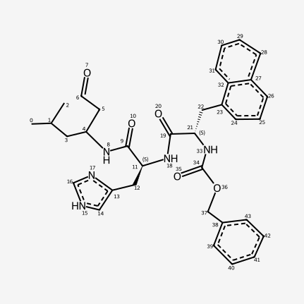 CC(C)CC(CC=O)NC(=O)[C@H](Cc1c[nH]cn1)NC(=O)[C@H](Cc1cccc2ccccc12)NC(=O)OCc1ccccc1